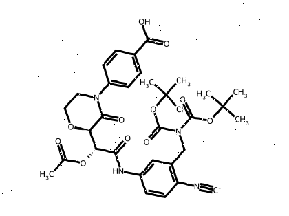 [C-]#[N+]c1ccc(NC(=O)[C@H](OC(C)=O)[C@H]2OCCN(c3ccc(C(=O)O)cc3)C2=O)cc1CN(C(=O)OC(C)(C)C)C(=O)OC(C)(C)C